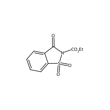 CCOC(=O)N1C(=O)c2ccccc2S1(=O)=O